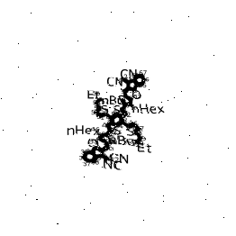 [C-]#[N+]/C(C#N)=C1\C(=Cc2cc(CCCCCC)c(-c3cc4c(-c5ccc(CC(CC)CCCC)s5)c5sc(-c6sc(C=C7C(=O)c8ccccc8/C7=C(/C#N)[N+]#[C-])cc6CCCCCC)cc5c(-c5ccc(CC(CC)CCCC)s5)c4s3)s2)C(=O)c2ccccc21